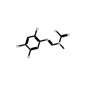 CN(C=Nc1cc(Cl)c(Cl)cc1Cl)C(=O)Cl